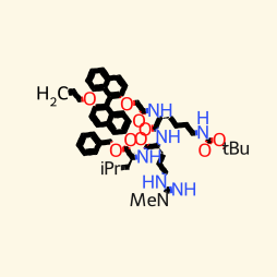 C=CCOc1ccc2ccccc2c1-c1c(OCC(=O)N[C@H](CCCCNC(=O)OC(C)(C)C)C(=O)N[C@H](CCCNC(=N)NC)C(=O)N[C@@H](CC(C)C)C(=O)OCc2ccccc2)ccc2ccccc12